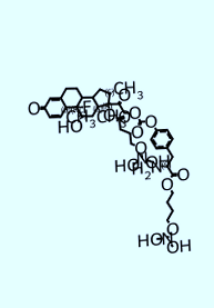 C[C@H]1CC2C3CCC4=CC(=O)C=C[C@]4(C)[C@@]3(F)[C@@H](O)C[C@]2(C)[C@@]1(OC(=O)CCCON(O)O)C(=O)COC(=O)Oc1ccc(C[C@H](N)C(=O)OCCCCON(O)O)cc1